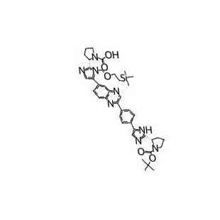 CC(C)(C)OC(=O)N1CCC[C@H]1c1ncc(-c2ccc(-c3cnc4cc(-c5cnc([C@@H]6CCCN6C(=O)O)n5COCC[Si](C)(C)C)ccc4n3)cc2)[nH]1